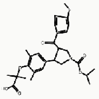 CSc1ccc(C(=O)C2CN(C(=O)OC(C)C)CC2c2cc(C)c(OC(C)(C)C(=O)O)c(C)c2)cc1